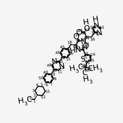 CC[C@H]1CC[C@H](c2ccc(-c3cnc(-c4ccc(C[C@H](NC(=O)c5ccc(C(C)(C)C)s5)C(=O)N[C@H](Cc5c[nH]cn5)C(=O)O)cc4)nc3)cc2)CC1